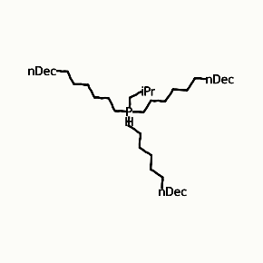 CCCCCCCCCCCCCCCC[PH](CCCCCCCCCCCCCCCC)(CCCCCCCCCCCCCCCC)CC(C)C